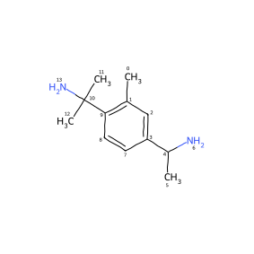 Cc1cc(C(C)N)ccc1C(C)(C)N